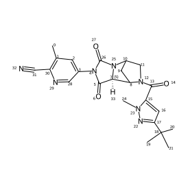 Cc1cc(N2C(=O)[C@@H]3C4CC(CN4C(=O)c4cc(C(C)(C)C)nn4C)N3C2=O)cnc1C#N